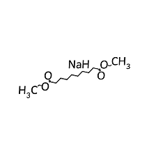 CCOC(=O)CCCCCCCCC(=O)OCC.[NaH]